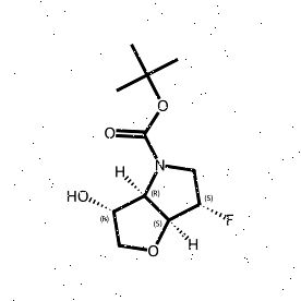 CC(C)(C)OC(=O)N1C[C@H](F)[C@H]2OC[C@H](O)[C@H]21